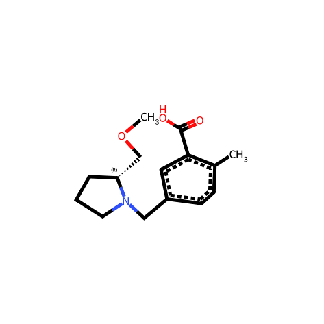 COC[C@H]1CCCN1Cc1ccc(C)c(C(=O)O)c1